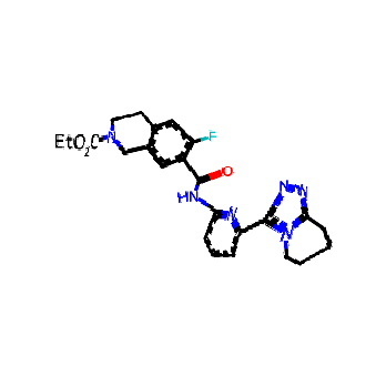 CCOC(=O)N1CCc2cc(F)c(C(=O)Nc3cccc(-c4nnc5n4CCCC5)n3)cc2C1